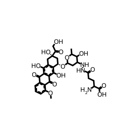 COc1cccc2c1C(=O)c1c(O)c3c(c(O)c1C2=O)C[C@@](O)(C(=O)CO)C[C@@H]3OC1CC(NNC(=O)CCC(N)C(=O)O)C(O)C(C)O1